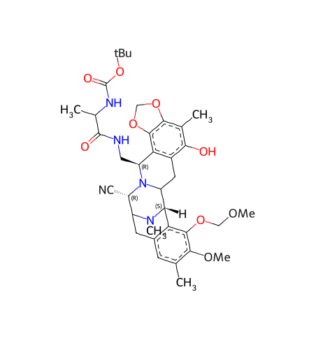 COCOc1c(OC)c(C)cc2c1[C@H]1C3Cc4c(O)c(C)c5c(c4[C@H](CNC(=O)C(C)NC(=O)OC(C)(C)C)N3[C@@H](C#N)C(C2)N1C)OCO5